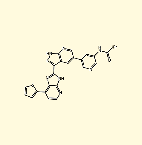 CC(C)C(=O)Nc1cncc(-c2cnc3[nH]nc(-c4nc5c(-c6cccs6)ccnc5[nH]4)c3c2)c1